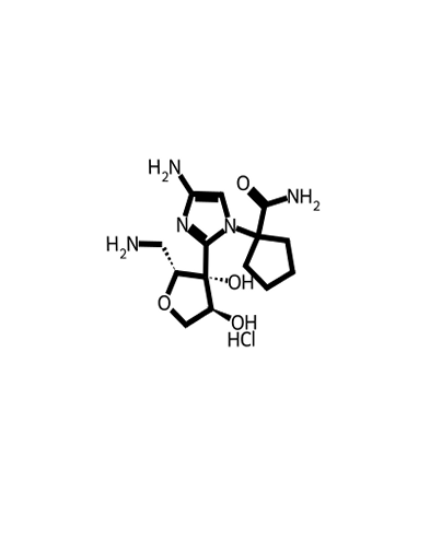 Cl.NC[C@H]1OC[C@H](O)[C@]1(O)c1nc(N)cn1C1(C(N)=O)CCCC1